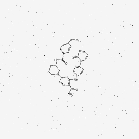 COc1ccc(C(=O)NC2CCCN(c3cnc(C(N)=O)c(Nc4ccc(-n5ccccc5=O)cc4)n3)C2)cc1